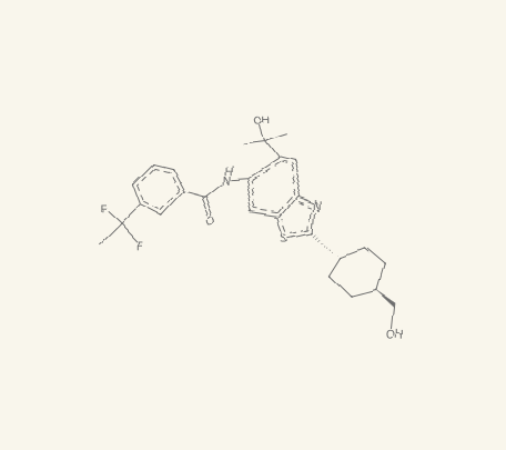 CC(C)(O)c1cc2nc([C@H]3CC[C@H](CO)CC3)sc2cc1NC(=O)c1cccc(C(C)(F)F)c1